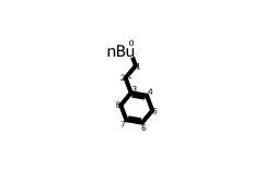 CCCCC[CH]C1=CCC=CC1